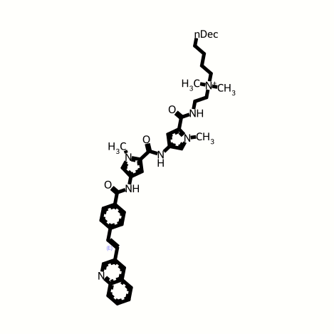 CCCCCCCCCCCCCC[N+](C)(C)CCNC(=O)c1cc(NC(=O)c2cc(NC(=O)c3ccc(/C=C/c4cnc5ccccc5c4)cc3)cn2C)cn1C